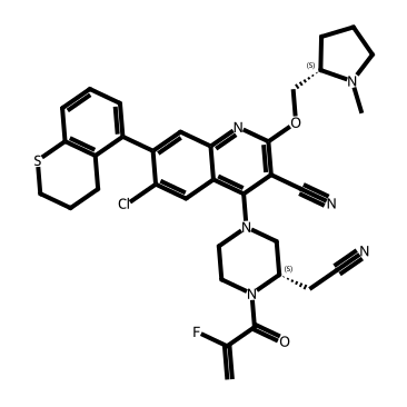 C=C(F)C(=O)N1CCN(c2c(C#N)c(OC[C@@H]3CCCN3C)nc3cc(-c4cccc5c4CCCS5)c(Cl)cc23)C[C@@H]1CC#N